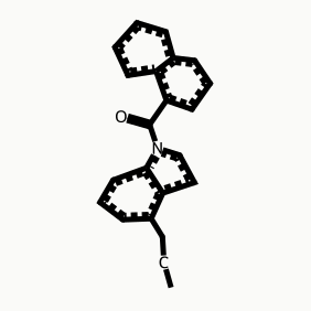 CCCc1cccc2c1ccn2C(=O)c1cccc2ccccc12